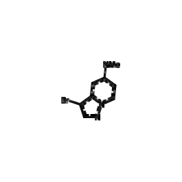 CNc1ccn2ncc(Br)c2c1